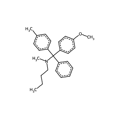 CCCCN(C)C(c1ccccc1)(c1ccc(C)cc1)c1ccc(OC)cc1